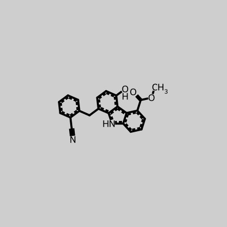 COC(=O)c1cccc2[nH]c3c(Cc4ccccc4C#N)ccc(O)c3c12